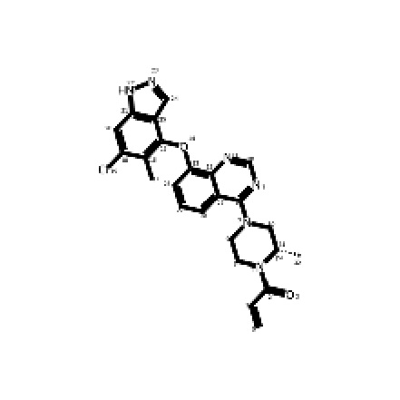 C=CC(=O)N1CCN(c2ncnc3c(Oc4c(C)c(Cl)cc5[nH]ncc45)cccc23)C[C@@H]1C